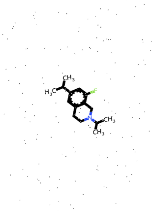 CC(C)c1cc(F)c2c(c1)CCN(C(C)C)C2